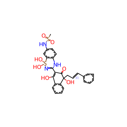 CS(=O)(=O)Nc1ccc2c(c1)S(O)(O)N=C(C1=C(O)c3ccccc3C(O)(C/C=C/c3ccccc3)C1=O)N2